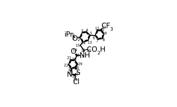 CC(C)Oc1ccc(-c2cccc(C(F)(F)F)c2)cc1C[C@H](NC(=O)c1ccc2nc(Cl)sc2c1)C(=O)O